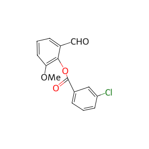 COc1cccc(C=O)c1OC(=O)c1cccc(Cl)c1